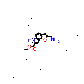 CCOC(=O)c1cc2c3c(ccc2[nH]1)CC(CN)O3